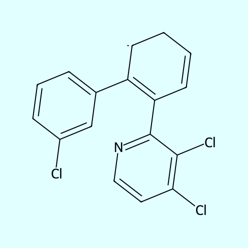 Clc1cccc(C2=C(c3nccc(Cl)c3Cl)C=CC[CH]2)c1